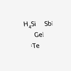 [Ge].[Sb].[SiH4].[Te]